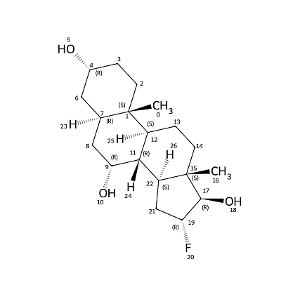 C[C@]12CC[C@@H](O)C[C@@H]1C[C@@H](O)[C@@H]1[C@@H]2CC[C@]2(C)[C@@H](O)[C@H](F)C[C@@H]12